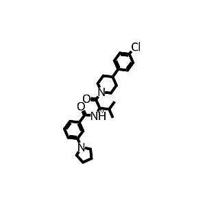 CC(C)[C@@H](NC(=O)c1cccc(N2CCCC2)c1)C(=O)N1CCC(c2ccc(Cl)cc2)CC1